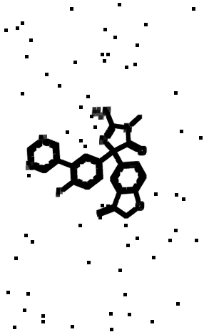 C=C1COc2ccc(C3(c4ccc(F)c(-c5cncnc5)c4)N=C(N)N(C)C3=O)cc21